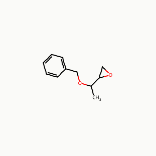 CC(OCc1ccccc1)C1CO1